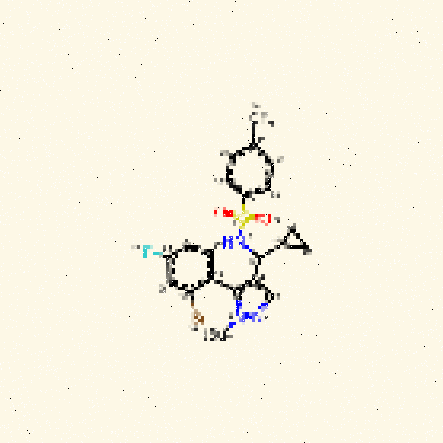 CC(C)(C)n1ncc(C(NS(=O)(=O)c2ccc(C(F)(F)F)cc2)C2CC2)c1-c1ccc(F)cc1Br